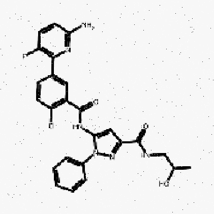 CC(O)CNC(=O)c1cc(NC(=O)c2cc(-c3nc(N)ccc3F)ccc2Cl)n(-c2ccccc2)n1